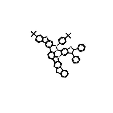 CC(C)(C)c1ccc(N2B3c4cc5c(cc4-n4c6cc7c(cc6c6ccc(c3c64)-c3cc4c(cc32)sc2cc(C(C)(C)C)ccc24)Cc2ccccc2-7)C(c2ccccc2)C(c2ccccc2)O5)cc1